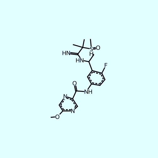 COc1cnc(C(=O)Nc2ccc(F)c(C3C[SH](C)(=O)C(C)(C)C(=N)N3)c2)cn1